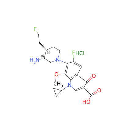 COc1c(N2CC[C@H](CCF)[C@@H](N)C2)c(F)cc2c(=O)c(C(=O)O)cn(C3CC3)c12.Cl